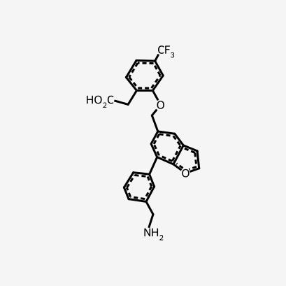 NCc1cccc(-c2cc(COc3cc(C(F)(F)F)ccc3CC(=O)O)cc3ccoc23)c1